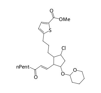 CCCCCC(=O)C=CC1C(OC2CCCCO2)CC(Cl)C1CCCc1ccc(C(=O)OC)s1